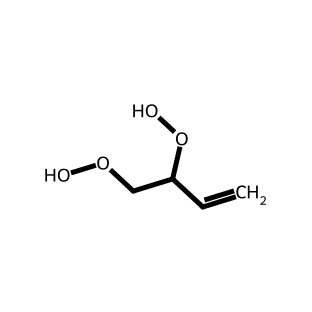 C=CC(COO)OO